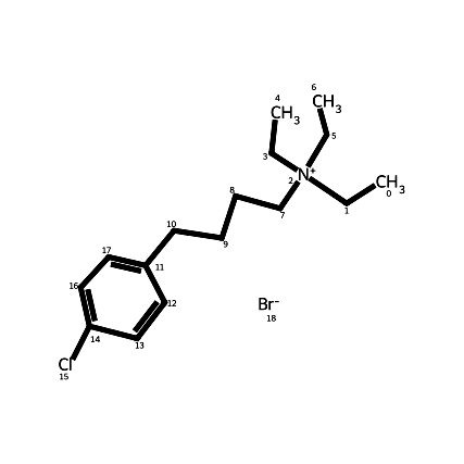 CC[N+](CC)(CC)CCCCc1ccc(Cl)cc1.[Br-]